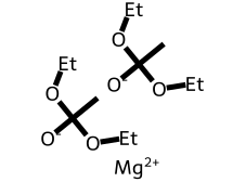 CCOC(C)([O-])OCC.CCOC(C)([O-])OCC.[Mg+2]